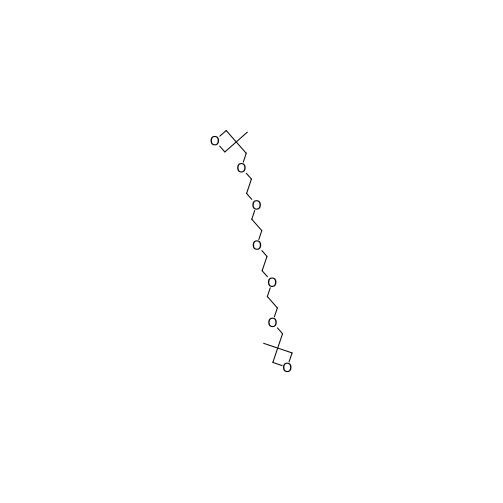 CC1(COCCOCCOCCOCCOCC2(C)COC2)COC1